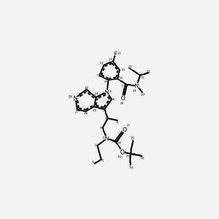 CCCN(CC(C)c1cn(-c2ccc(F)cc2C(=O)N(C)C(C)C)c2cnccc12)C(=O)OC(C)(C)C